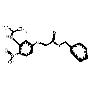 CC(C)Nc1cc(OCC(=O)OCc2ccccc2)ccc1[N+](=O)[O-]